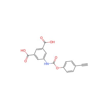 C#Cc1ccc(OC(=O)Nc2cc(C(=O)O)cc(C(=O)O)c2)cc1